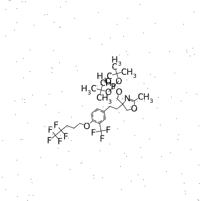 CC1=NC(CCc2ccc(OCCCC(F)(F)C(F)(F)F)c(C(F)(F)F)c2)(COP(=O)(OC(C)(C)C)OC(C)(C)C)CO1